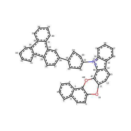 c1ccc2c3c(ccc2c1)Oc1ccc2c4ccccc4n(-c4ccc(-c5ccc6c7ccccc7c7ccccc7c6c5)cc4)c2c1O3